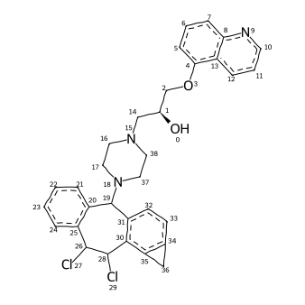 O[C@H](COc1cccc2ncccc12)CN1CCN(C2c3ccccc3C(Cl)C(Cl)c3c2ccc2c3C2)CC1